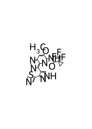 COc1cc2ncnc(-c3c[nH]nc3-c3cncs3)c2nc1NC(=O)C1(C(F)(F)F)CC1